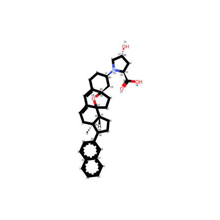 C[C@]12CC=C3C=C4CC[C@@H](N5C[C@H](O)C[C@H]5C(=O)O)C[C@]45CCC3(O5)[C@@H]1CCC2c1ccc2ccccc2c1